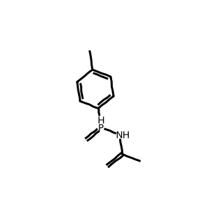 C=C(C)N[PH](=C)c1ccc(C)cc1